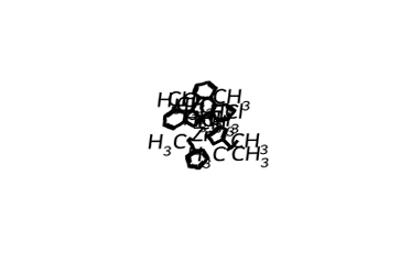 CC1=CC=CC2[CH]([Zr]([C]3=C(C)C=C(C(C)(C)C)C3)=[C](C)c3ccccc3)C3(C)C4(C)C=CC=CC4(C)C4(C)C=CC=CC4(C)C3(C)C12C.Cl